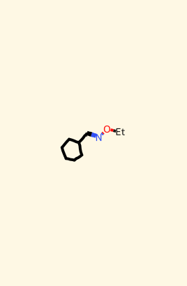 CCO/N=[C]/C1CCCCC1